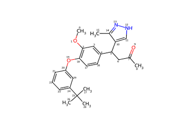 COc1cc(C(CC(C)=O)c2c[nH]nc2C)ccc1Oc1cccc(C(C)(C)C)c1